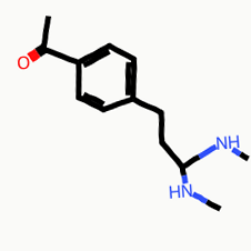 CNC(CCc1ccc(C(C)=O)cc1)NC